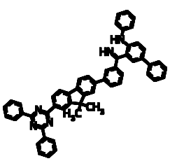 CC1(C)c2cc(-c3cccc(C(=N)c4cc(-c5ccccc5)ccc4Nc4ccccc4)c3)ccc2-c2ccc(-c3nc(-c4ccccc4)nc(-c4ccccc4)n3)cc21